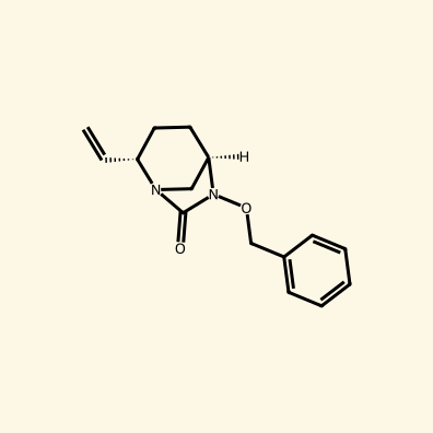 C=C[C@@H]1CC[C@@H]2CN1C(=O)N2OCc1ccccc1